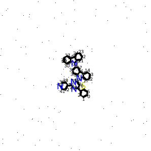 c1ccc2c(c1)sc1c(-n3c4ccccc4c4cc(-n5c6ccccc6c6ccccc65)ccc43)nc(-c3ccncc3)nc12